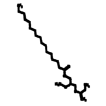 C=C(CC)OCC(COC(=O)CCCCCCCCCCCCCCCC)OC